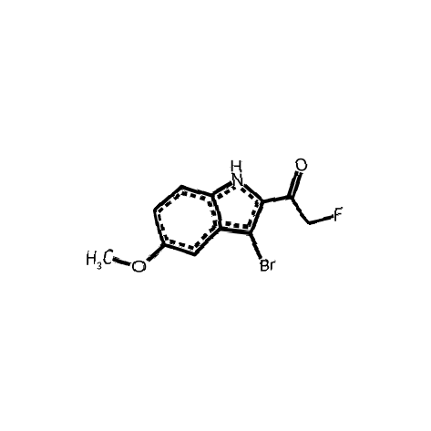 COc1ccc2[nH]c(C(=O)CF)c(Br)c2c1